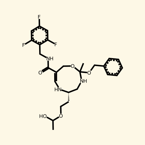 CC(O)OCC[C@H]1CNC(C)(OCc2ccccc2)OC/C(C(=O)NCc2c(F)cc(F)cc2F)=C\N1